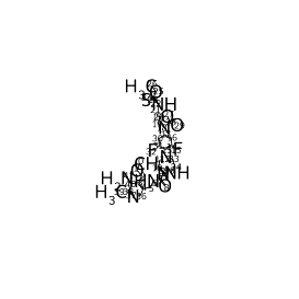 COCc1c(CNC(=O)N2CCN(c3c(F)cc(N4C[C@H](CNC(=S)OC)OC4=O)cc3F)CCN2)cnc(C)c1N